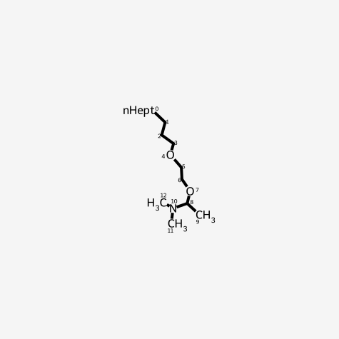 CCCCCCCCCCOCCOC(C)N(C)C